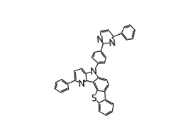 c1ccc(-c2ccnc(-c3ccc(-n4c5ccc(-c6ccccc6)nc5c5c6sc7ccccc7c6ccc54)cc3)n2)cc1